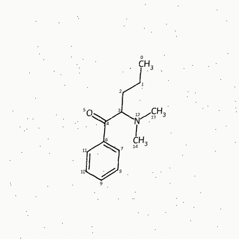 CCCC(C(=O)c1ccccc1)N(C)C